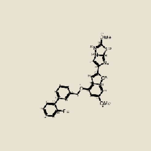 COc1cc(OCc2cccc(-c3ccccc3F)c2)c2cc(-c3cn4nc(OC)sc4n3)oc2c1